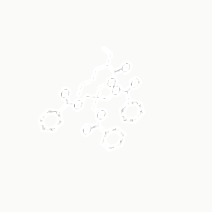 CCCCC(CC)C(=O)OCC(COC(=O)c1ccccc1)(COC(=O)c1ccccc1)COC(=O)c1ccccc1